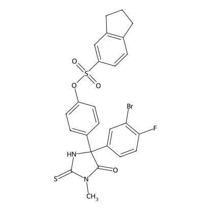 CN1C(=O)C(c2ccc(OS(=O)(=O)c3ccc4c(c3)CCC4)cc2)(c2ccc(F)c(Br)c2)NC1=S